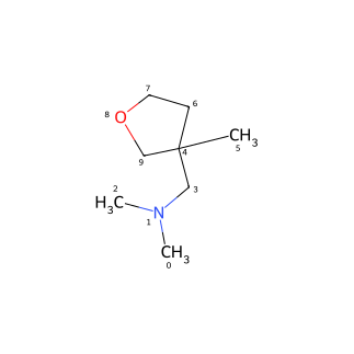 CN(C)CC1(C)CCOC1